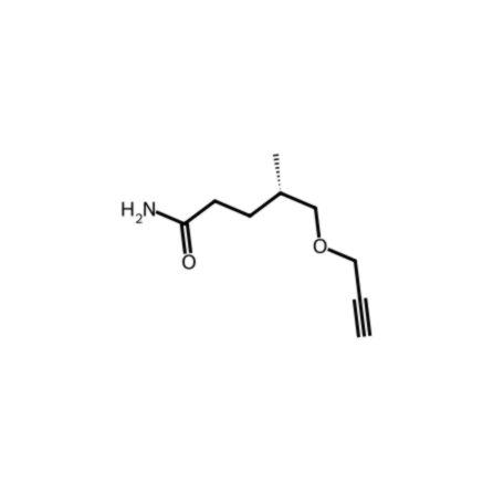 C#CCOC[C@@H](C)CCC(N)=O